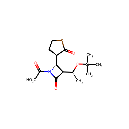 C[C@@H](O[Si](C)(C)C)[C@H]1C(=O)N(C(=O)C(=O)O)[C@@H]1[C@H]1CCSC1=O